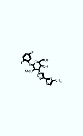 COC1C(Sc2cc(Br)ccc2F)OC(CO)C(O)C1n1cc(-c2nc(C)cs2)nn1